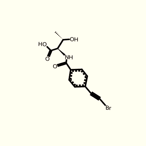 C[C@H](O)[C@@H](NC(=O)c1ccc(C#CBr)cc1)C(=O)O